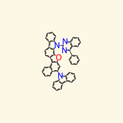 c1ccc(-c2nc(-n3c4ccccc4c4ccc5c(oc6cc(-n7c8ccccc8c8ccccc87)c7ccccc7c65)c43)nc3ccccc23)cc1